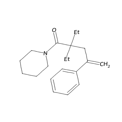 C=C(CC(CC)(CC)C(=O)N1CCCCC1)c1ccccc1